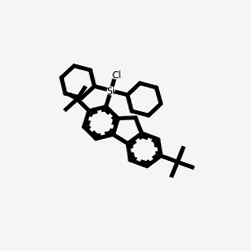 CC(C)(C)c1ccc2c(c1)Cc1c-2ccc(C(C)(C)C)c1[Si](Cl)(C1CCCCC1)C1CCCCC1